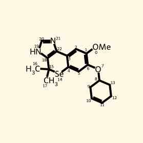 COc1cc2c(cc1OC1CC=CCC1)[Se]C(C)(C)c1[nH]cnc1-2